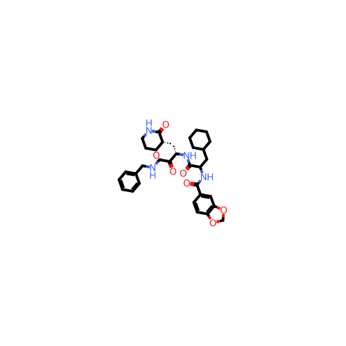 O=C(NCc1ccccc1)C(=O)[C@H](C[C@@H]1CCCNC1=O)NC(=O)C(CC1CCCCC1)NC(=O)c1ccc2c(c1)OCO2